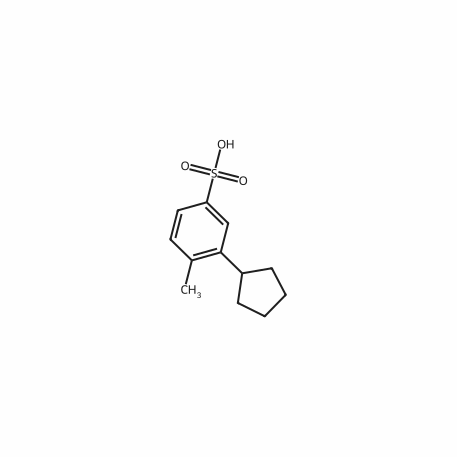 Cc1ccc(S(=O)(=O)O)cc1C1CCCC1